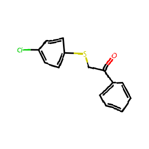 O=C(CSc1ccc(Cl)cc1)c1ccccc1